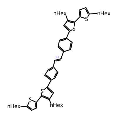 CCCCCCc1ccc(-c2sc(-c3ccc(/C=C/c4ccc(-c5cc(CCCCCC)c(-c6ccc(CCCCCC)s6)s5)cc4)cc3)cc2CCCCCC)s1